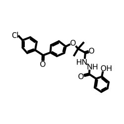 CC(C)(Oc1ccc(C(=O)c2ccc(Cl)cc2)cc1)C(=O)NNC(=O)c1ccccc1O